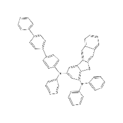 c1ccc(-c2ccc(-c3ccc(N(c4ccccc4)c4cc(N(c5ccccc5)c5ccccc5)c5sc6cc7ccccc7cc6c5c4)cc3)cc2)cc1